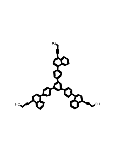 OCC#Cc1ccc(-c2ccc(-c3cc(-c4ccc(-c5ccc(C#CCO)c6ccccc56)cc4)cc(-c4ccc(-c5ccc(C#CCO)c6ccccc56)cc4)c3)cc2)c2ccccc12